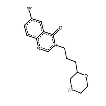 O=c1c2cc(Br)ccc2ncn1CCCC1CNCCO1